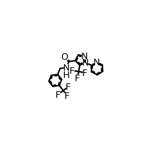 O=C(NCc1cccc(C(F)(F)F)c1)c1cnn(-c2ccccn2)c1C(F)(F)F